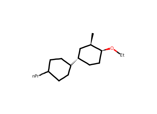 CCCC1CCC([C@H]2CC[C@H](OCC)[C@H](C)C2)CC1